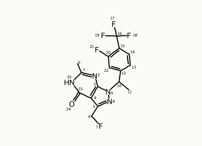 Cc1nc2c(c(CF)nn2C(C)c2ccc(C(F)(F)F)c(F)c2)c(=O)[nH]1